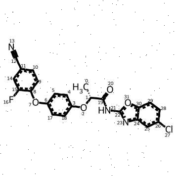 C[C@@H](Oc1ccc(Oc2ccc(C#N)cc2F)cc1)C(=O)Nc1nc2cc(Cl)ccc2o1